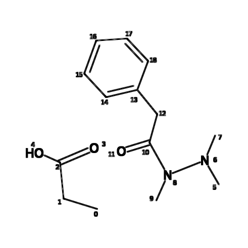 CCC(=O)O.CN(C)N(C)C(=O)Cc1ccccc1